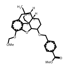 COCOc1ccc2c3c1OC1C(OCc4ccc(C(=O)OC)cc4)CC[C@H]4[C@@H](C2)N(C)CC[C@]314